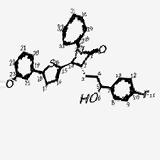 O=C1[C@H](CC[C@H](O)c2ccc(F)cc2)[C@@H](C2=CCC(c3cccc(O)c3)S2)N1c1ccccc1